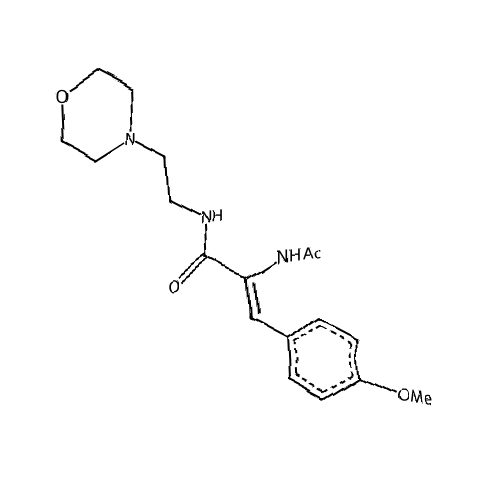 COc1ccc(/C=C(\NC(C)=O)C(=O)NCCN2CCOCC2)cc1